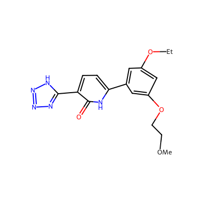 CCOc1cc(OCCOC)cc(-c2ccc(-c3nnn[nH]3)c(=O)[nH]2)c1